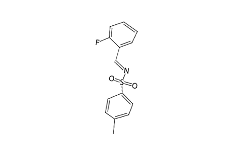 Cc1ccc(S(=O)(=O)N=Cc2ccccc2F)cc1